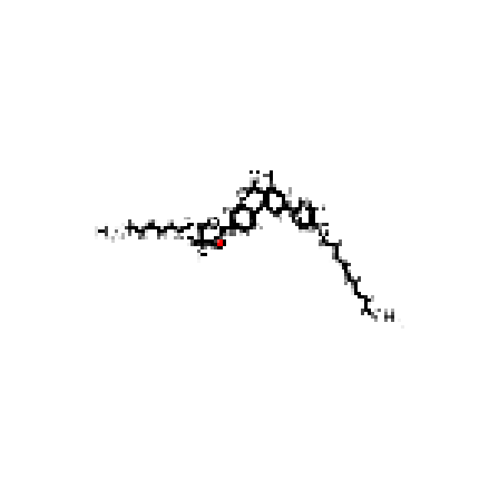 CCCCCCCCCCOc1cnc(-c2ccc(C(=O)O)c(-c3ccc(C(=O)O[C@H](CCCCCCCC)C(F)(F)F)cc3)c2)nc1